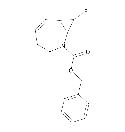 O=C(OCc1ccccc1)N1CCC=CC2C(F)C21